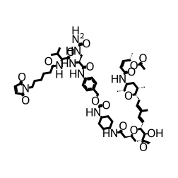 CC(=O)O[C@@H](C)/C=C\C(=O)N[C@@H]1C[C@H](C)[C@H](C/C=C(C)/C=C/[C@H]2O[C@H](CC(=O)N[C@H]3CC[C@H](NC(=O)OCc4ccc(NC(=O)[C@H](CNC(N)=O)NC(=O)[C@@H](NC(=O)CCCCCN5C(=O)C=CC5=O)C(C)C)cc4)CC3)C[C@@]3(CO3)[C@@H]2O)O[C@@H]1C